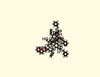 C[C@H](OC(=O)NCc1ccccc1)[C@H]1O[C@@H](O[C@@H]2[C@@H](NC(=O)OCc3ccccc3)[C@H](OCc3ccccc3)[C@@H](NC(=O)[C@@H](O)CCNC(=O)OCc3ccccc3)[C@H](O)[C@H]2O[C@@H]2O[C@H](CO)[C@@H](O[C@H]3O[C@@H](CN=[N+]=[N-])[C@@H](O)[C@H](O)[C@H]3N=[N+]=[N-])[C@H]2O)[C@H](N=[N+]=[N-])C[C@@H]1OCc1ccccc1